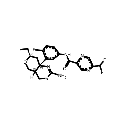 CC[C@H]1C[C@]2(c3cc(NC(=O)c4cnc(C(F)F)cn4)ccc3F)N=C(N)SC[C@@H]2CO1